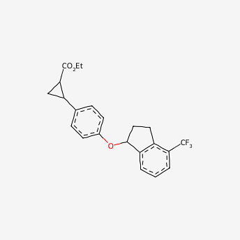 CCOC(=O)C1CC1c1ccc(OC2CCc3c2cccc3C(F)(F)F)cc1